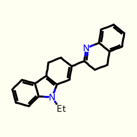 CCn1c2c(c3ccccc31)CCC(C1=Nc3ccccc3CC1)=C2